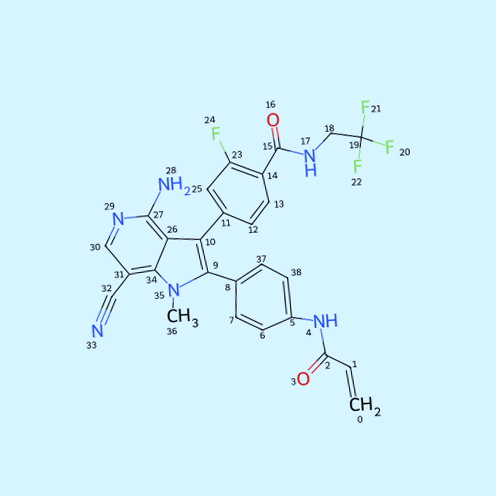 C=CC(=O)Nc1ccc(-c2c(-c3ccc(C(=O)NCC(F)(F)F)c(F)c3)c3c(N)ncc(C#N)c3n2C)cc1